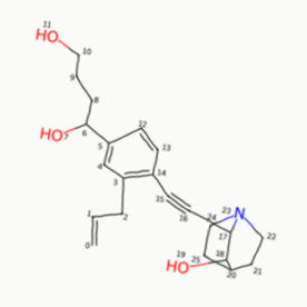 C=CCc1cc(C(O)CCCO)ccc1C#CC1C(O)C2CCN1CC2